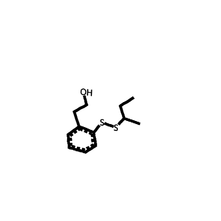 CCC(C)SSc1ccccc1CCO